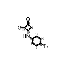 O=c1cc(Nc2ccc(F)cc2)c1=O